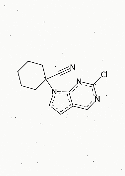 N#CC1(n2ccc3cnc(Cl)nc32)CCCCC1